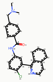 CN(C)Cc1ccc(C(=O)Nc2ccc(Cl)c(-c3nccc4ccccc34)c2)cc1